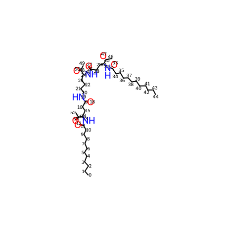 CCCCCCCCCCCC(=O)NC(CCC(=O)NCCCCC(NC(=O)CCC(NC(=O)CCCCCCCCCCC)C(C)=O)C(C)=O)C(C)=O